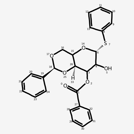 O=C(OC1C(O)[C@@H](Sc2ccccc2)OC2CO[C@H](c3ccccc3)O[C@@H]21)c1ccccc1